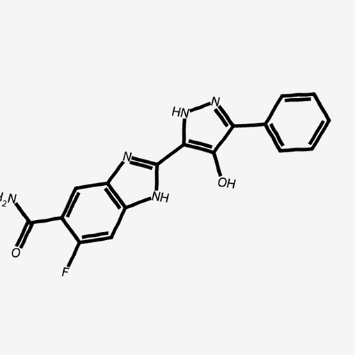 NC(=O)c1cc2nc(-c3[nH]nc(-c4ccccc4)c3O)[nH]c2cc1F